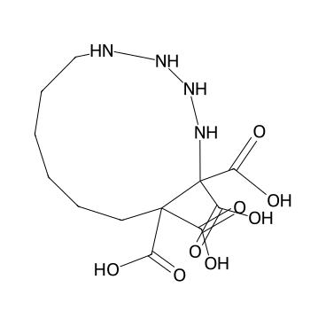 O=C(O)C1(C(=O)O)CCCCCCNNNNC1(C(=O)O)C(=O)O